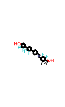 CCCC(O)c1ccc(/C=C/C2CC=C(c3ccc(-c4ccc(O)c(F)c4F)c(F)c3F)CC2)c(F)c1F